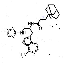 Nc1ncnc2c1ncn2CC(CNc1nn[nH]n1)NC(=O)/C=C/C12CC3CC(CC(C3)C1)C2